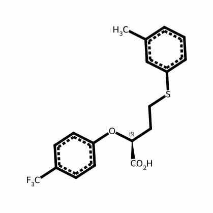 Cc1cccc(SCC[C@H](Oc2ccc(C(F)(F)F)cc2)C(=O)O)c1